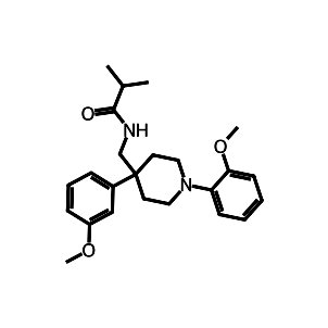 COc1cccc(C2(CNC(=O)C(C)C)CCN(c3ccccc3OC)CC2)c1